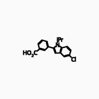 CC(C)n1c(-c2cccc(C(=O)O)c2)cc2cc(Cl)ccc21